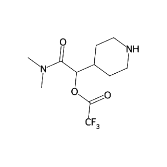 CN(C)C(=O)C(OC(=O)C(F)(F)F)C1CCNCC1